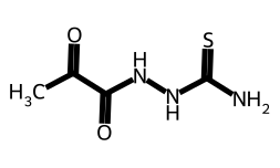 CC(=O)C(=O)NNC(N)=S